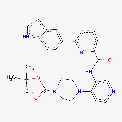 CC(C)(C)OC(=O)N1CCN(c2ccncc2NC(=O)c2cccc(-c3ccc4[nH]ccc4c3)n2)CC1